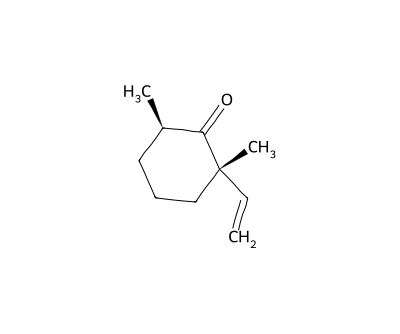 C=C[C@]1(C)CCC[C@@H](C)C1=O